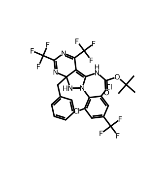 CC(C)(C)OC(=O)NC1=C2C(C(F)(F)F)=NC(C(F)(F)F)=NC2(Cc2ccccc2)NN1c1c(Cl)cc(C(F)(F)F)cc1Cl